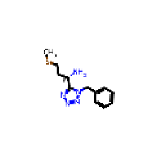 CSCC[C@H](N)c1nnnn1Cc1ccccc1